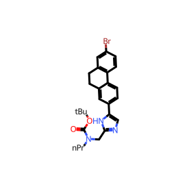 CCCN(Cc1ncc(-c2ccc3c(c2)CCc2cc(Br)ccc2-3)[nH]1)C(=O)OC(C)(C)C